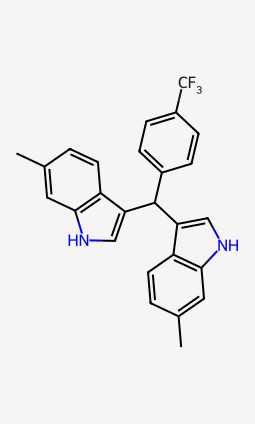 Cc1ccc2c(C(c3ccc(C(F)(F)F)cc3)c3c[nH]c4cc(C)ccc34)c[nH]c2c1